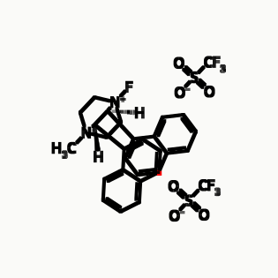 C[N+]12CC[N+](F)(CC1)[C@@H](c1cccc3ccccc13)[C@@H]2c1cccc2ccccc12.O=S(=O)([O-])C(F)(F)F.O=S(=O)([O-])C(F)(F)F